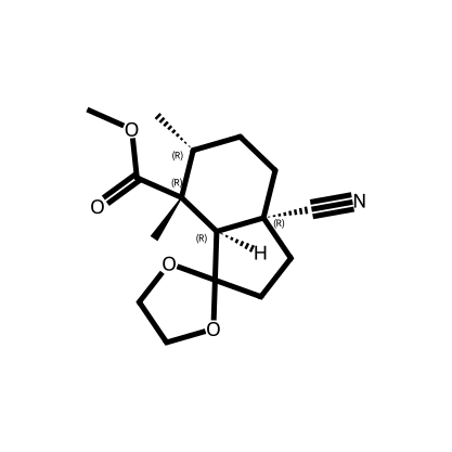 COC(=O)[C@]1(C)[C@H](C)CC[C@@]2(C#N)CCC3(OCCO3)[C@H]21